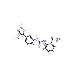 Cn1cc(Br)c(-c2cccc(NC(=O)Nc3ccccc3CN)c2)n1